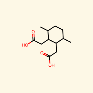 CC1CCC(C)C(CC(=O)O)C1CC(=O)O